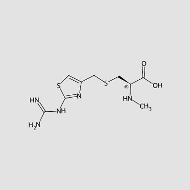 CN[C@@H](CSCc1csc(NC(=N)N)n1)C(=O)O